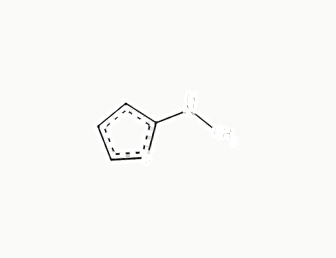 CNc1cccs1